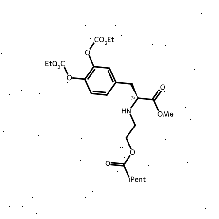 CCCC(C)C(=O)OCCN[C@@H](Cc1ccc(OC(=O)OCC)c(OC(=O)OCC)c1)C(=O)OC